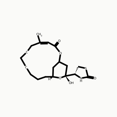 C/C1=C/C(=O)OC2C[C@@H](CCCCCCC1)O[C@@](O)([C@@H]1CSC(=O)N1)C2